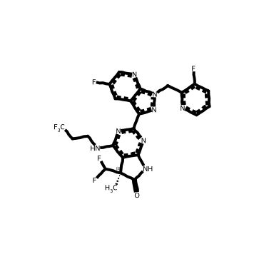 C[C@@]1(C(F)F)C(=O)Nc2nc(-c3nn(Cc4ncccc4F)c4ncc(F)cc34)nc(NCCC(F)(F)F)c21